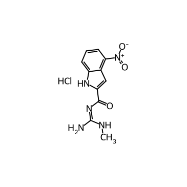 CNC(N)=NC(=O)c1cc2c([N+](=O)[O-])cccc2[nH]1.Cl